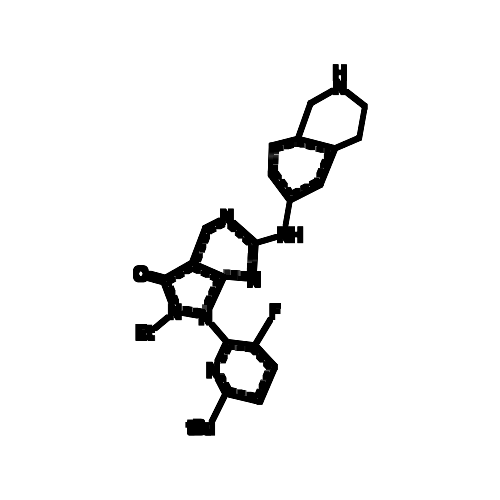 CCn1c(=O)c2cnc(Nc3ccc4c(c3)CCNC4)nc2n1-c1nc(C(C)(C)C)ccc1F